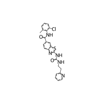 Cc1cccc(Cl)c1NC(=O)c1ccc2nc(NC(=O)NCCc3ccccn3)sc2c1